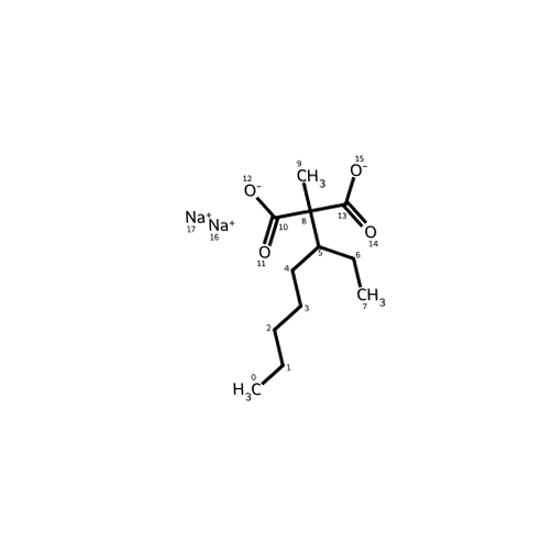 CCCCCC(CC)C(C)(C(=O)[O-])C(=O)[O-].[Na+].[Na+]